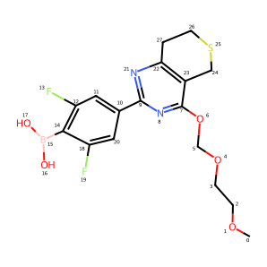 COCCOCOc1nc(-c2cc(F)c(B(O)O)c(F)c2)nc2c1CSCC2